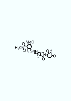 COc1ccc(SNCc2cc3c(s2)C(=O)N(C2CCC(=O)NC2=O)C3)cc1C(=O)N(C)C